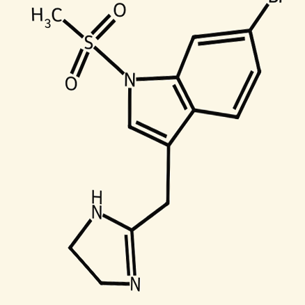 CS(=O)(=O)n1cc(CC2=NCCN2)c2ccc(Br)cc21